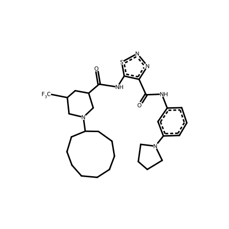 O=C(Nc1cccc(N2CCCC2)c1)c1nnsc1NC(=O)C1CC(C(F)(F)F)CN(C2CCCCCCCCC2)C1